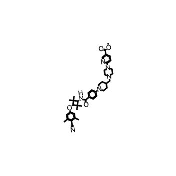 COC(=O)c1ccc(N2CCN(CC3CCN(c4ccc(C(=O)N[C@H]5C(C)(C)[C@H](Oc6cc(C)c(C#N)c(C)c6)C5(C)C)cc4)CC3)CC2)nc1